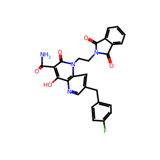 NC(=O)c1c(O)c2ncc(Cc3ccc(F)cc3)cc2n(CCN2C(=O)c3ccccc3C2=O)c1=O